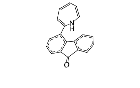 O=C1c2ccccc2-c2c1cccc2C1=CC=CC=CN1